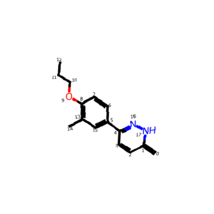 C=C1C=CC(c2ccc(OCCC)c(C)c2)=NN1